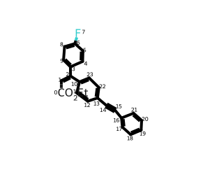 CCOC(=O)C=C(c1ccc(F)cc1)c1ccc(C#Cc2ccccc2)cc1